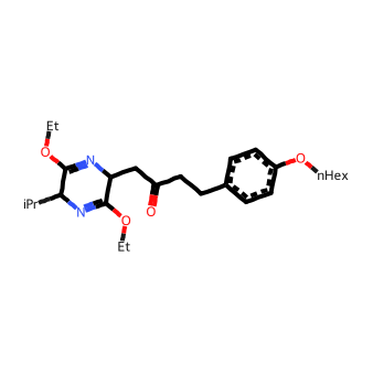 CCCCCCOc1ccc(CCC(=O)CC2N=C(OCC)C(C(C)C)N=C2OCC)cc1